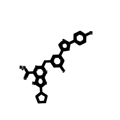 NC(=O)c1nc(Cc2cc(F)cc(-c3cnn(-c4ccc(Cl)cc4)c3)c2)nc2nc(C3CCCC3)[nH]c12